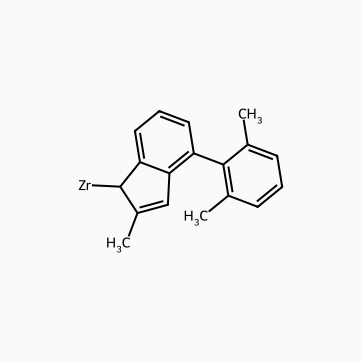 CC1=Cc2c(-c3c(C)cccc3C)cccc2[CH]1[Zr]